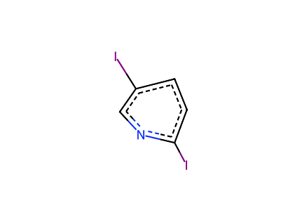 Ic1ccc(I)nc1